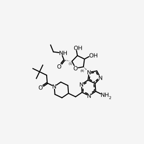 CCNC(=O)[C@H]1O[C@@H](n2cnc3c(N)nc(CC4CCN(C(=O)CC(C)(C)C)CC4)nc32)C(O)C1O